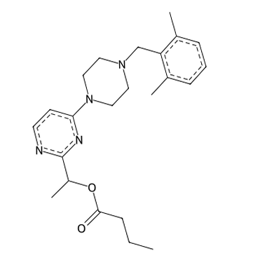 CCCC(=O)OC(C)c1nccc(N2CCN(Cc3c(C)cccc3C)CC2)n1